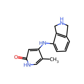 Cc1c[nH]c(=O)cc1Nc1cccc2c1CNC2